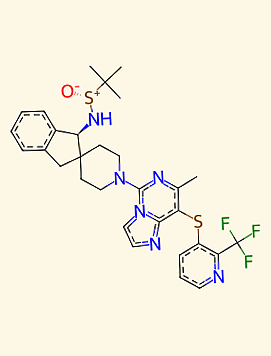 Cc1nc(N2CCC3(CC2)Cc2ccccc2[C@H]3N[S@+]([O-])C(C)(C)C)n2ccnc2c1Sc1cccnc1C(F)(F)F